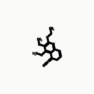 CCOc1nc2c(c(OC)c1OC)C(=C=O)CC=C2